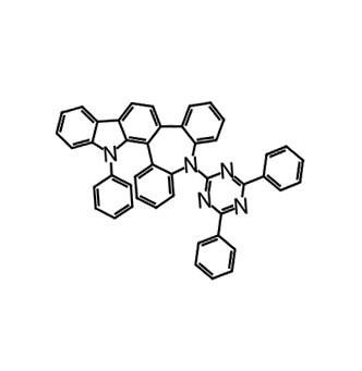 c1ccc(-c2nc(-c3ccccc3)nc(N3c4ccccc4-c4ccc5c6ccccc6n(-c6ccccc6)c5c4-c4ccccc43)n2)cc1